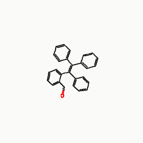 O=Cc1ccccc1C(=C(c1ccccc1)c1ccccc1)c1ccccc1